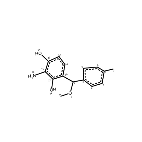 COC(c1ccc(C)cc1)c1ccc(O)c(N)c1O